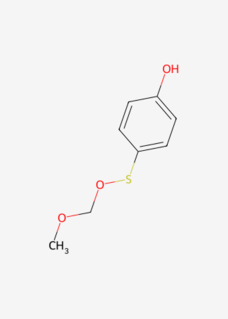 COCOSc1ccc(O)cc1